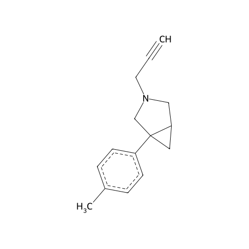 C#CCN1CC2CC2(c2ccc(C)cc2)C1